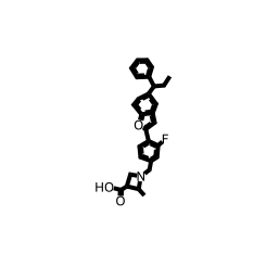 CCC(c1ccccc1)c1ccc2oc(-c3ccc(CN4CC(C(=O)O)C4C)cc3F)cc2c1